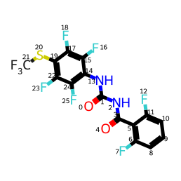 O=C(NC(=O)c1c(F)cccc1F)Nc1c(F)c(F)c(SC(F)(F)F)c(F)c1F